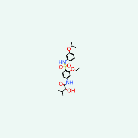 CCOc1cc(NC(=O)[C@@H](O)C(C)C)ccc1S(=O)(=O)Nc1cccc(OC(C)C)c1